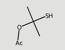 CC(=O)OC(C)(C)S